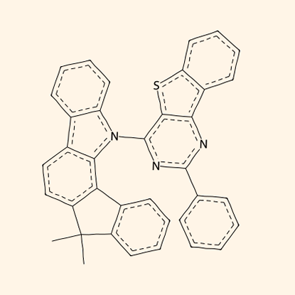 CC1(C)c2ccccc2-c2c1ccc1c3ccccc3n(-c3nc(-c4ccccc4)nc4c3sc3ccccc34)c21